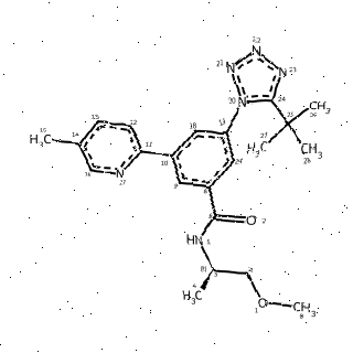 COC[C@@H](C)NC(=O)c1cc(-c2ccc(C)cn2)cc(-n2nnnc2C(C)(C)C)c1